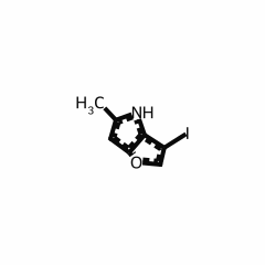 Cc1cc2occ(I)c2[nH]1